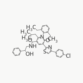 CCc1cccc(CC)c1-n1c(CC(C)C)c(C(=O)NCC(O)c2ccccc2)cc(-c2nc(-c3ccc(Cl)cc3)cs2)c1=O